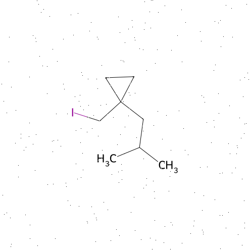 CC(C)CC1(CI)CC1